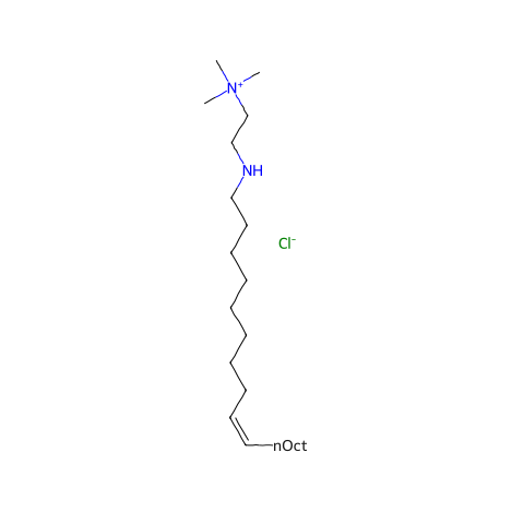 CCCCCCCC/C=C\CCCCCCCCNCC[N+](C)(C)C.[Cl-]